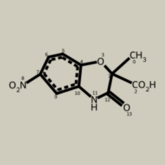 CC1(C(=O)O)Oc2ccc([N+](=O)[O-])cc2NC1=O